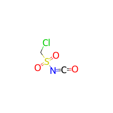 O=C=NS(=O)(=O)CCl